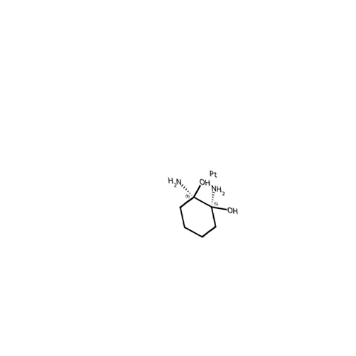 N[C@]1(O)CCCC[C@@]1(N)O.[Pt]